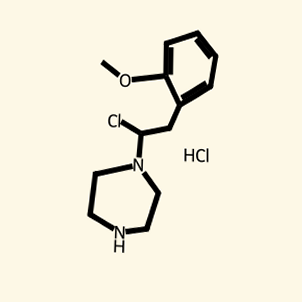 COc1ccccc1CC(Cl)N1CCNCC1.Cl